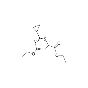 CCOC(=O)C1C=C(OCC)N=C(C2CC2)S1